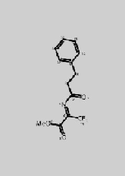 COC(=O)/C(=N/C(=O)CCc1ccccc1)C(F)(F)F